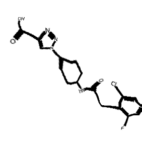 O=C(Cc1c(F)cccc1Cl)NC1CCC(n2cc(C(=O)O)nn2)CC1